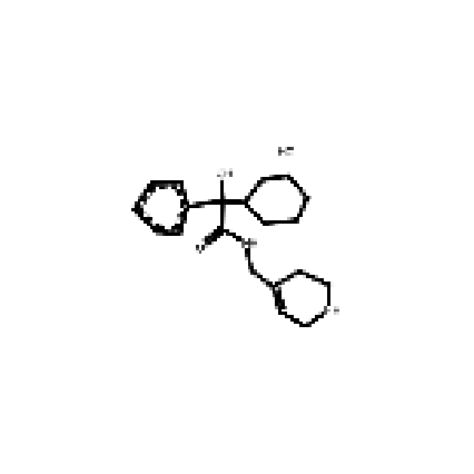 Cl.O=C(NCC1=CCNCC1)C(O)(c1ccccc1)C1CCCCC1